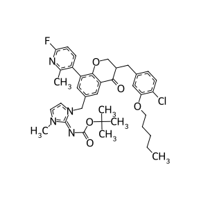 CCCCCOc1cc(CC2COc3c(cc(Cn4ccn(C)/c4=N/C(=O)OC(C)(C)C)cc3-c3ccc(F)nc3C)C2=O)ccc1Cl